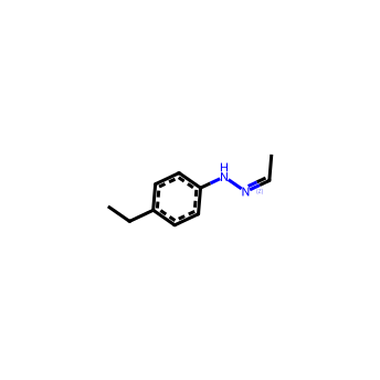 C/C=N\Nc1ccc(CC)cc1